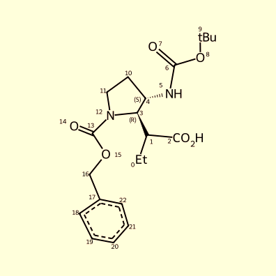 CCC(C(=O)O)[C@@H]1[C@@H](NC(=O)OC(C)(C)C)CCN1C(=O)OCc1ccccc1